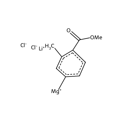 COC(=O)c1cc[c]([Mg+])cc1C.[Cl-].[Cl-].[Li+]